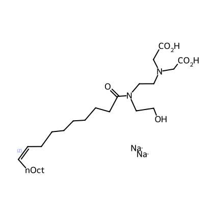 CCCCCCCC/C=C\CCCCCCCC(=O)N(CCO)CCN(CC(=O)O)CC(=O)O.[Na].[Na]